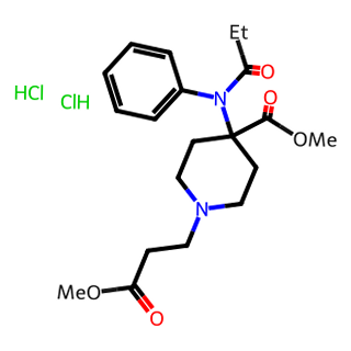 CCC(=O)N(c1ccccc1)C1(C(=O)OC)CCN(CCC(=O)OC)CC1.Cl.Cl